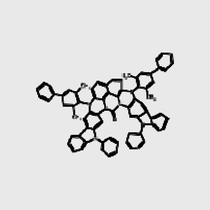 Cc1cc(-c2ccccc2)cc(C)c1B1c2cc3c4ccccc4n(-c4ccccc4)c3cc2N2C(=O)N3c4cc5c(cc4B(c4c(C)cc(-c6ccccc6)cc4C)c4ccc6ccc1c2c6c43)c1ccccc1n5-c1ccccc1